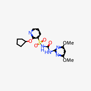 COc1cc(OC)nc(NC(=O)NS(=O)(=O)c2cccnc2OC2CCCC2)n1